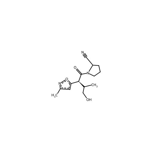 Cc1cc([C@@H](C(=O)N2CCCC2C#N)C(C)CO)on1